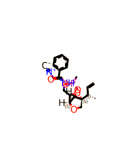 [C-]#[N+]CCOP(C)O[C@H]1[C@H]2OC[C@]1([C@@H](C)C=C)OC2CNC(=O)c1ccccc1